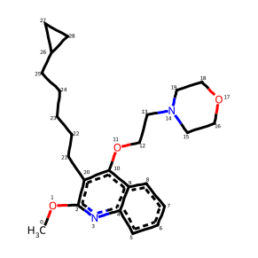 COc1nc2ccccc2c(OCCN2CCOCC2)c1CCCCCC1CC1